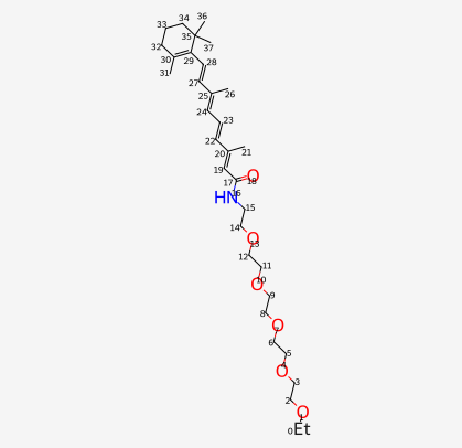 CCOCCOCCOCCOCCOCCNC(=O)/C=C(C)/C=C/C=C(C)/C=C/C1=C(C)CCCC1(C)C